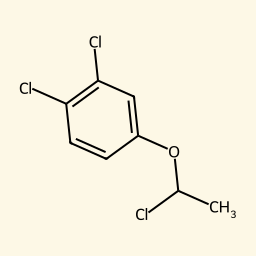 CC(Cl)Oc1ccc(Cl)c(Cl)c1